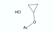 CC(=O)OC1CC1.Cl